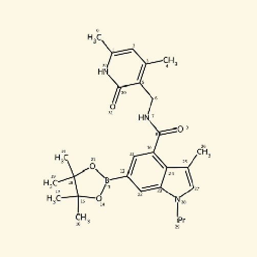 Cc1cc(C)c(CNC(=O)c2cc(B3OC(C)(C)C(C)(C)O3)cc3c2c(C)cn3C(C)C)c(=O)[nH]1